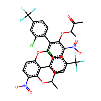 CC(=O)C(C)Oc1c([N+](=O)[O-])ccc(Oc2ccc([N+](=O)[O-])c(OC(C)C(C)=O)c2-c2ccc(C(F)(F)F)cc2Cl)c1-c1ccc(C(F)(F)F)cc1Cl